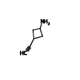 C#CC1CC(N)C1